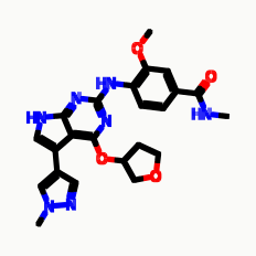 CNC(=O)c1ccc(Nc2nc(OC3CCOC3)c3c(-c4cnn(C)c4)c[nH]c3n2)c(OC)c1